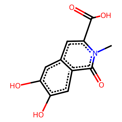 Cn1c(C(=O)O)cc2cc(O)c(O)cc2c1=O